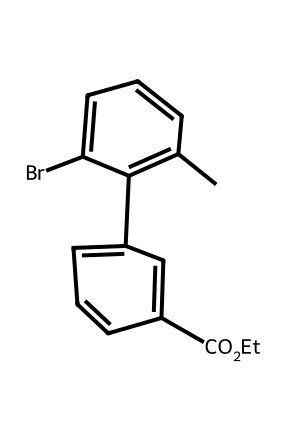 CCOC(=O)c1cccc(-c2c(C)cccc2Br)c1